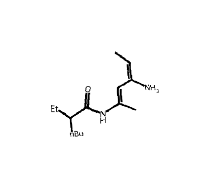 C/C=C(N)\C=C(/C)NC(=O)C(CC)CCCC